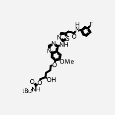 COc1cc2c(Nc3ncc(CC(=O)Nc4cccc(F)c4)s3)ncnc2cc1OCCCC(O)COC(=O)NC(C)(C)C